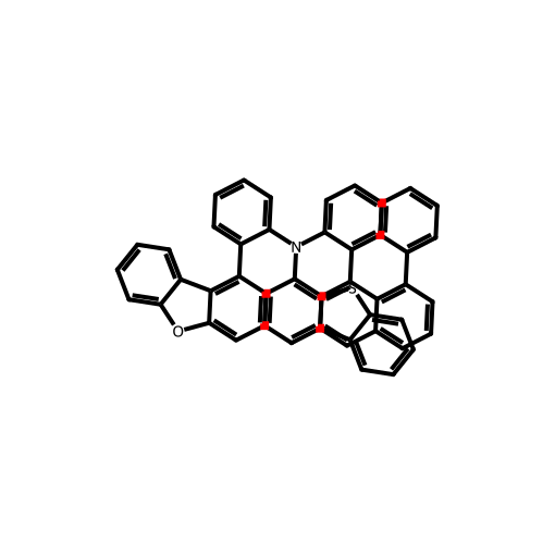 c1ccc(-c2cccc3cccc(-c4ccccc4N(c4ccccc4-c4cccc5oc6ccccc6c45)c4cccc5c4sc4ccccc45)c23)cc1